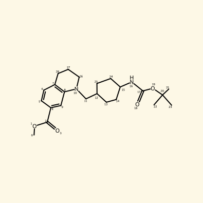 COC(=O)c1ccc2c(c1)N(CC1CCC(NC(=O)OC(C)(C)C)CC1)CCC2